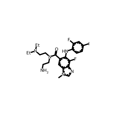 CCN(CC)CCN(CCN)C(=O)c1cc2c(ncn2C)c(F)c1Nc1ccc(I)cc1F